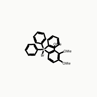 COc1ccc(P(Br)(c2ccccc2)(c2ccccc2)c2ccccc2)c(OC)c1OC